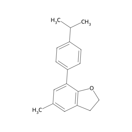 Cc1cc2c(c(-c3ccc(C(C)C)cc3)c1)OCC2